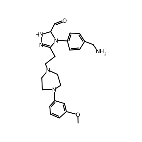 COc1cccc(N2CCN(CCC3=NNC(C=O)N3c3ccc(CN)cc3)CC2)c1